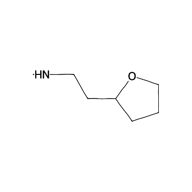 [NH]CCC1CCCO1